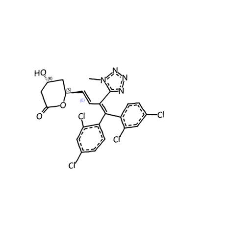 Cn1nnnc1C(/C=C/[C@@H]1C[C@@H](O)CC(=O)O1)=C(c1ccc(Cl)cc1Cl)c1ccc(Cl)cc1Cl